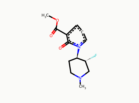 COC(=O)c1cccn([C@@H]2CCN(C)C[C@H]2F)c1=O